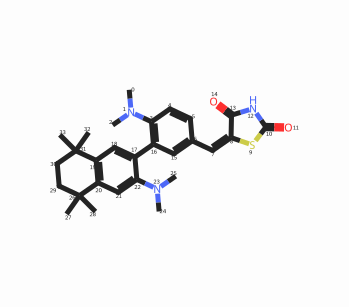 CN(C)c1ccc(C=C2SC(=O)NC2=O)cc1-c1cc2c(cc1N(C)C)C(C)(C)CCC2(C)C